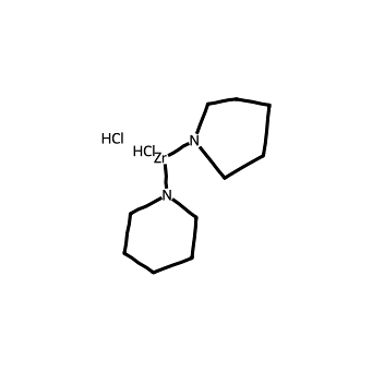 C1CC[N]([Zr][N]2CCCCC2)CC1.Cl.Cl